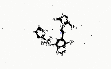 Cc1csc(=O)n1/C=C/c1cc(NS(=O)(=O)c2cccs2)c2c(c1O)OCO2